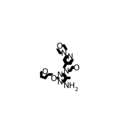 Cc1c(N)nc(OCC2CCCO2)nc1N(CC=O)Cc1ccnc(N2CCOCC2)c1